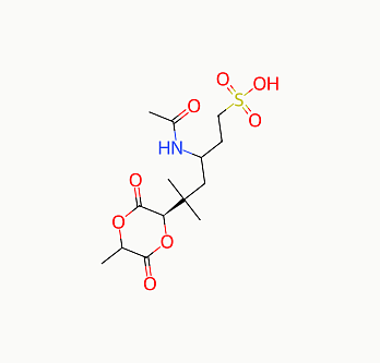 CC(=O)NC(CCS(=O)(=O)O)CC(C)(C)[C@H]1OC(=O)C(C)OC1=O